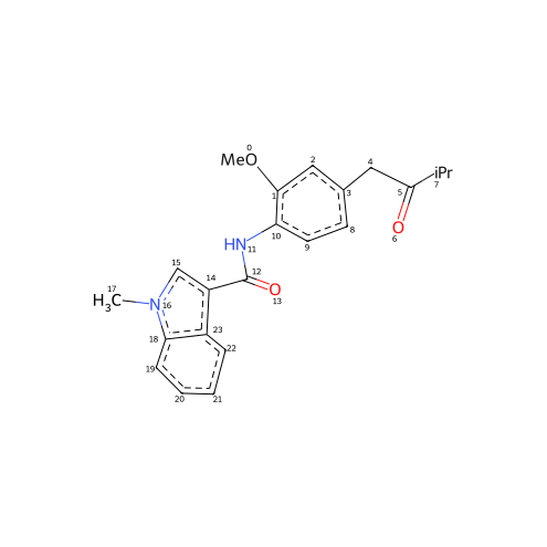 COc1cc(CC(=O)C(C)C)ccc1NC(=O)c1cn(C)c2ccccc12